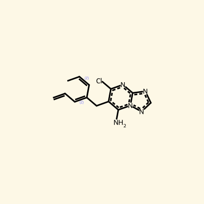 C=C/C=C(\C=C/C)Cc1c(Cl)nc2ncnn2c1N